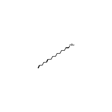 C=CCCC=CCCCCCCCC=CCCCC